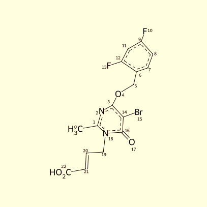 Cc1nc(OCc2ccc(F)cc2F)c(Br)c(=O)n1C/C=C/C(=O)O